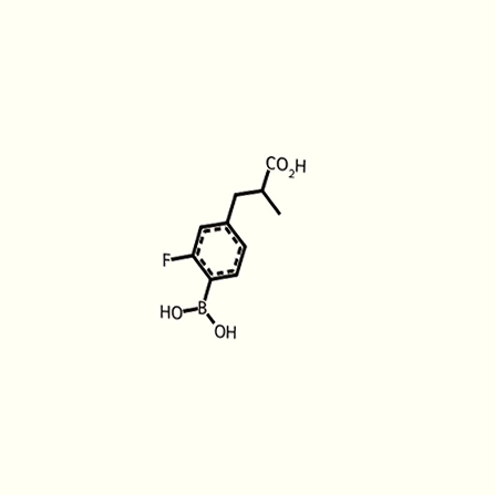 CC(Cc1ccc(B(O)O)c(F)c1)C(=O)O